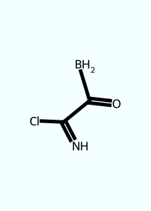 BC(=O)C(=N)Cl